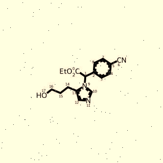 CCOC(=O)C(c1ccc(C#N)cc1)n1cncc1CCCO